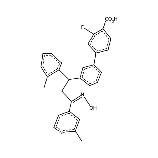 Cc1cc(C(CC(c2cccc(-c3ccc(C(=O)O)c(F)c3)c2)c2ccccc2C)=NO)ccn1